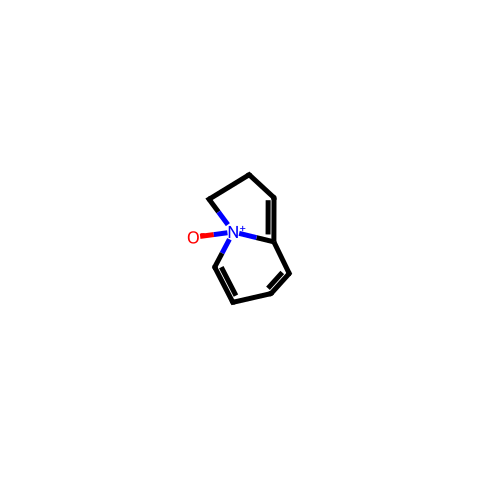 [O-][N+]12C=CC=CC1=CCC2